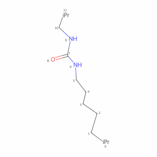 CC(C)CCCCCNC(=O)NCC(C)C